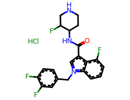 Cl.O=C(NC1CCNCC1F)c1cn(Cc2ccc(F)c(F)c2)c2cccc(F)c12